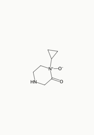 O=C1CNCC[N+]1([O-])C1CC1